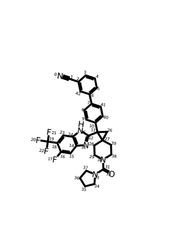 N#Cc1cccc(-c2ccc(C3(c4nc5cc(F)c(C(F)(F)F)cc5[nH]4)CC34CCN(C(=O)N3CCCC3)CC4)cc2)c1